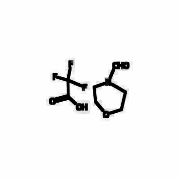 O=C(O)C(F)(F)F.O=CN1CCOCC1